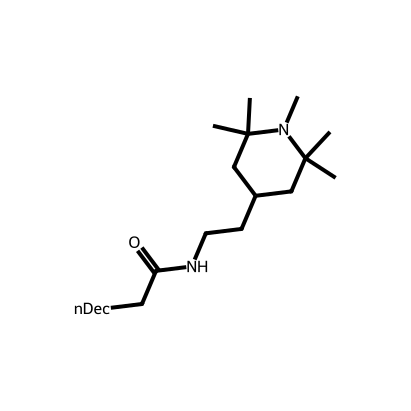 CCCCCCCCCCCC(=O)NCCC1CC(C)(C)N(C)C(C)(C)C1